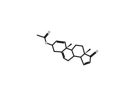 CC(=O)OC1C=C[C@@]2(C)C(=CCC3C2CC[C@]2(C)C(=O)C=CC32)C1